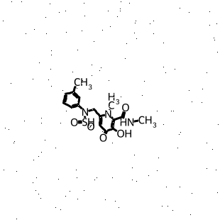 CNC(=O)c1c(O)c(=O)cc(CN(c2cccc(C)c2)[SH](=O)=O)n1C